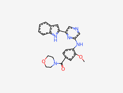 COc1cc(C(=O)N2CCOCC2)ccc1Nc1cncc(-c2cc3ccccc3[nH]2)n1